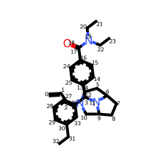 C=CCN1CCC2CCC(C1)N2C(c1ccc(C(=O)N(CC)CC)cc1)c1cccc(CC)c1